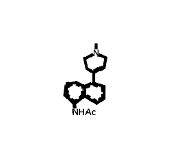 CC(=O)Nc1cccc2c(C3=CCN(C)CC3)cccc12